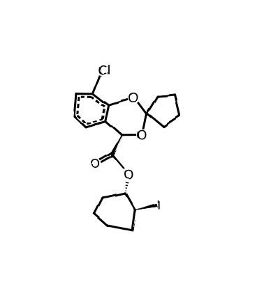 O=C(O[C@H]1CCCC[C@@H]1I)[C@@H]1OC2(CCCC2)Oc2c(Cl)cccc21